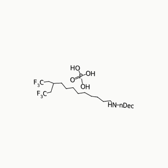 CCCCCCCCCCNCCCCCCCCCC(CC(F)(F)F)CC(F)(F)F.O=P(O)(O)O